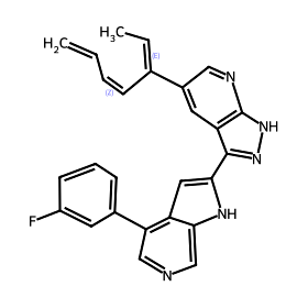 C=C/C=C\C(=C/C)c1cnc2[nH]nc(-c3cc4c(-c5cccc(F)c5)cncc4[nH]3)c2c1